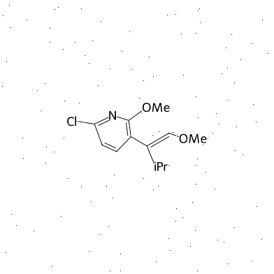 COC=C(c1ccc(Cl)nc1OC)C(C)C